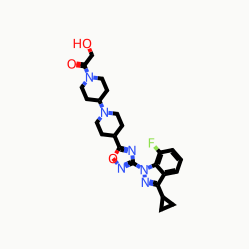 O=C(CO)N1CCC(N2CCC(c3nc(-n4nc(C5CC5)c5cccc(F)c54)no3)CC2)CC1